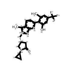 Cc1cc(C(F)(F)F)cc(O)c1-c1ccc2c(C)n(C[C@@H]3CC(=O)N(C4CC4)C3)nc2n1